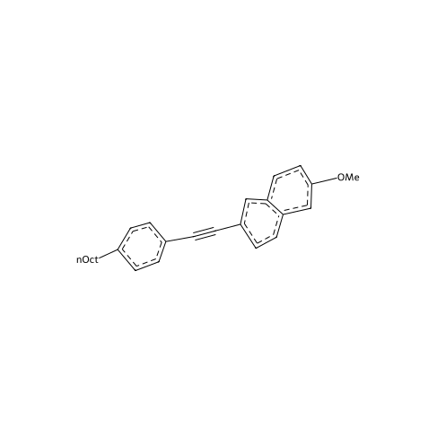 CCCCCCCCc1ccc(C#Cc2ccc3cc(OC)ccc3c2)cc1